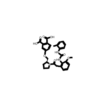 COc1cccc(CC(=O)N2CCC[C@H]2COc2ccc(C(=O)O)c(C(=O)O)c2)c1NC(=O)Nc1ccccc1C